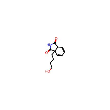 O=C1NC(=O)C2(CCCCO)C=CC=CC12